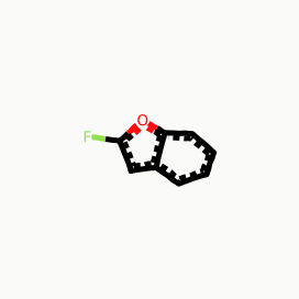 Fc1cc2ccccc2o1